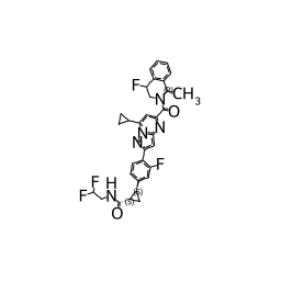 C[C@@H]1c2ccccc2C(F)CN1C(=O)c1cc(C2CC2)n2nc(-c3ccc([C@H]4C[C@@H]4C(=O)NCC(F)F)cc3F)cc2n1